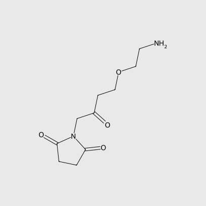 NCCOCCC(=O)CN1C(=O)CCC1=O